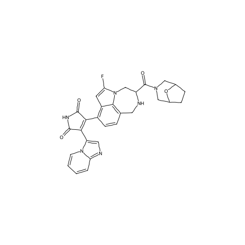 O=C1NC(=O)C(c2cnc3ccccn23)=C1c1ccc2c3c1cc(F)n3CC(C(=O)N1CC3CCC(C1)O3)NC2